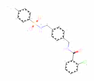 Cc1ccc(S(=O)(=O)NCc2ccc(CNC(=O)c3ccccc3Cl)cc2)cc1